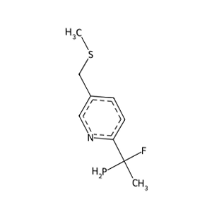 CSCc1ccc(C(C)(F)P)nc1